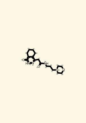 O=C(Cc1n[nH]c(=O)c2c1CCCC2)NCCCN1CCOCC1